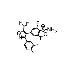 Cc1ccc(-c2noc(C(F)F)c2-c2cc(F)c(S(N)(=O)=O)c(F)c2)cc1C